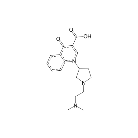 CN(C)CCN1CCC(n2cc(C(=O)O)c(=O)c3ccccc32)C1